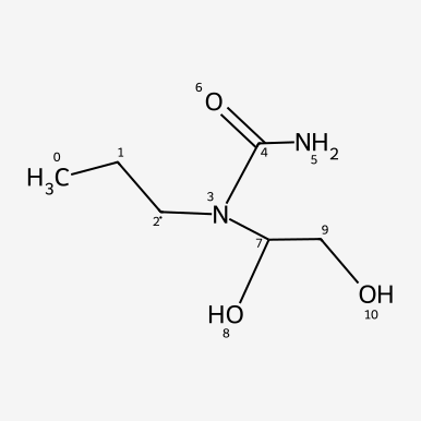 CC[CH]N(C(N)=O)C(O)CO